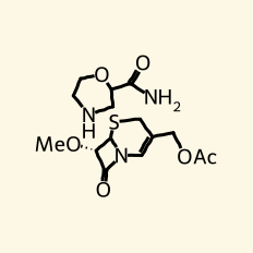 CO[C@H]1C(=O)N2C=C(COC(C)=O)CSC12.NC(=O)C1CNCCO1